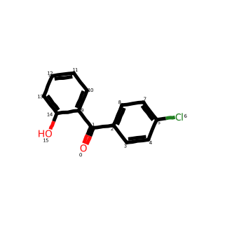 O=C(c1ccc(Cl)cc1)c1cc[c]cc1O